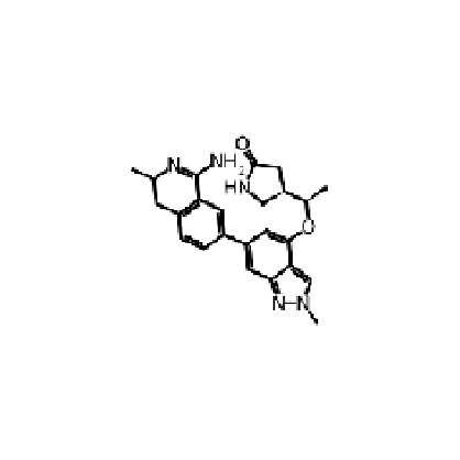 CC1Cc2ccc(-c3cc(O[C@H](C)[C@H]4CNC(=O)C4)c4cn(C)nc4c3)cc2C(N)=N1